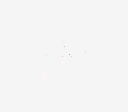 Clc1cccc(Cl)c1N1C2NCC[N+]21OCc1ccco1